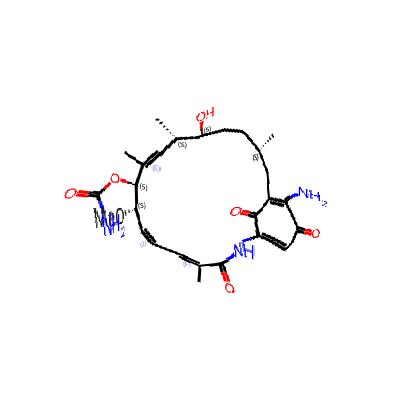 CO[C@H]1/C=C\C=C(/C)C(=O)NC2=CC(=O)C(N)=C(C[C@@H](C)CC[C@H](O)[C@@H](C)/C=C(\C)[C@@H]1OC(N)=O)C2=O